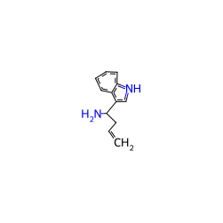 C=CCC(N)c1c[nH]c2ccccc12